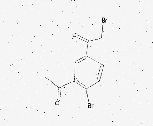 CC(=O)c1cc(C(=O)CBr)ccc1Br